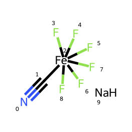 N#[C][Fe]([F])([F])([F])([F])([F])[F].[NaH]